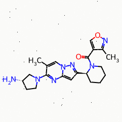 Cc1cn2nc([C@@H]3CCCCN3C(=O)c3conc3C)cc2nc1N1CC[C@H](N)C1